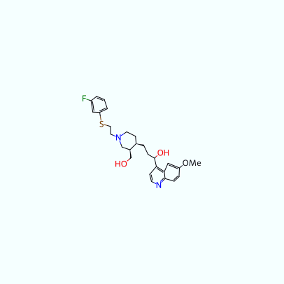 COc1ccc2nccc(C(O)CC[C@@H]3CCN(CCSc4cccc(F)c4)C[C@@H]3CO)c2c1